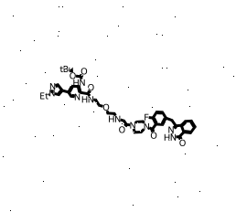 CCn1cc(-c2cnc(C(=O)NCCOCCNCC(=O)N3CCN(C(=O)c4cc(Cc5n[nH]c(=O)c6ccccc56)ccc4F)CC3)c(NC(=O)OC(C)(C)C)c2)cn1